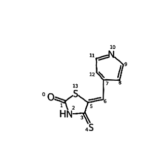 O=C1NC(=S)C(=Cc2ccncc2)S1